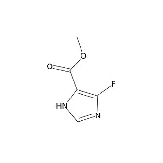 COC(=O)c1[nH]cnc1F